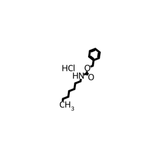 CCCCCCCNC(=O)OCc1ccccc1.Cl